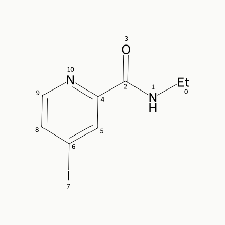 CCNC(=O)c1cc(I)ccn1